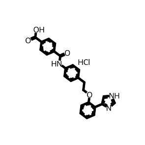 Cl.O=C(O)c1ccc(C(=O)Nc2ccc(CCOc3ccccc3-c3c[nH]cn3)cc2)cc1